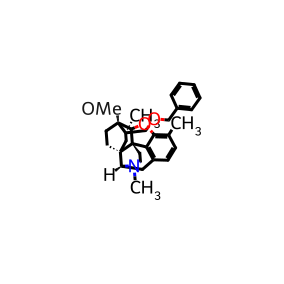 CO[C@]12CC[C@@]3(C[C@]1(C)COCc1ccccc1)[C@H]1Cc4ccc(C)c5c4[C@@]3(CCN1C)C2O5